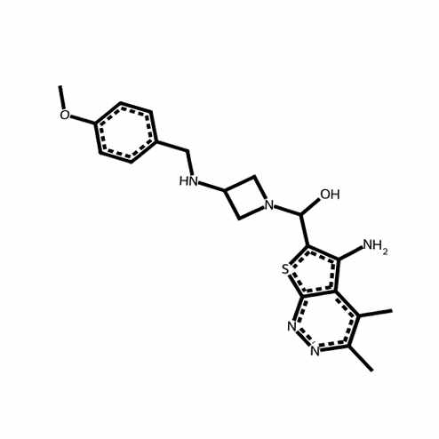 COc1ccc(CNC2CN(C(O)c3sc4nnc(C)c(C)c4c3N)C2)cc1